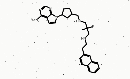 CNc1ncnc2c1ccn2C1CCC(CNCC(F)(F)CNCCc2ccc3ccccc3c2)C1